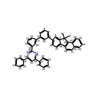 CC1(C)c2cc(-c3cccc(-c4cccc(-c5nc(-c6ccccc6)cc(-c6ccccc6)n5)c4)c3)ccc2-c2ccc3ccccc3c21